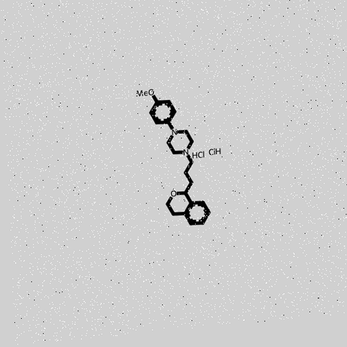 COc1ccc(N2CCN(CCCC3OCCc4ccccc43)CC2)cc1.Cl.Cl